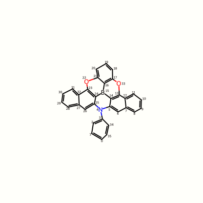 c1ccc(N2c3cc4ccccc4c4c3B3c5c(cccc5Oc5c3c2cc2ccccc52)O4)cc1